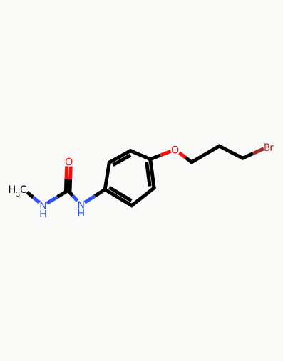 CNC(=O)Nc1ccc(OCCCBr)cc1